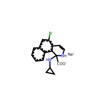 O=C([O-])C1(NC2CC2)NC=Cc2c(Br)cc3ccccc3c21.[Na+]